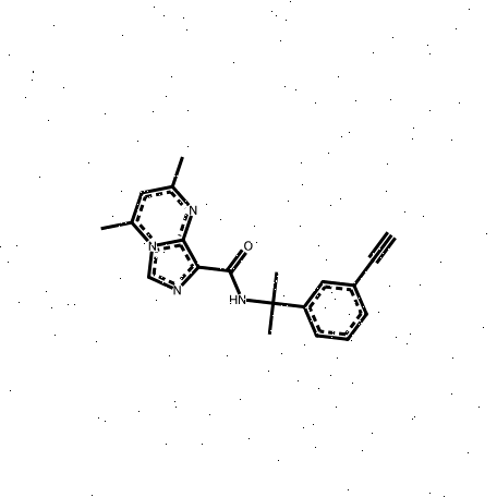 C#Cc1cccc(C(C)(C)NC(=O)c2ncn3c(C)cc(C)nc23)c1